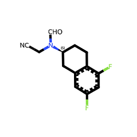 N#CCN(C=O)[C@H]1CCc2c(F)cc(F)cc2C1